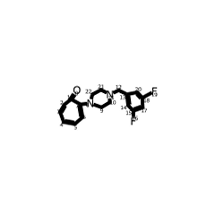 O=c1cccccc1N1CCN(Cc2cc(F)cc(F)c2)CC1